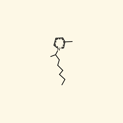 CCCCCCC(C)[n+]1cccc(C)c1